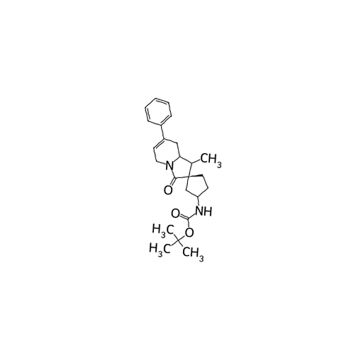 CC1C2CC(c3ccccc3)=CCN2C(=O)[C@]12CCC(NC(=O)OC(C)(C)C)C2